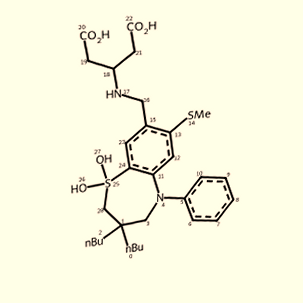 CCCCC1(CCCC)CN(c2ccccc2)c2cc(SC)c(CNC(CC(=O)O)CC(=O)O)cc2S(O)(O)C1